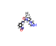 C=C1C=CC(N2CCNCC2)=CN1C(=O)/C=C/c1cccc(N=O)c1